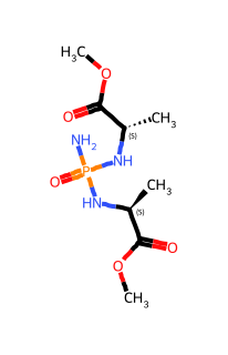 COC(=O)[C@H](C)NP(N)(=O)N[C@@H](C)C(=O)OC